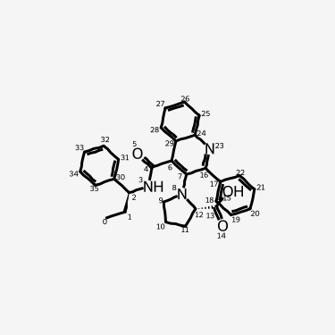 CC[C@H](NC(=O)c1c(N2CCC[C@H]2C(=O)O)c(-c2ccccc2)nc2ccccc12)c1ccccc1